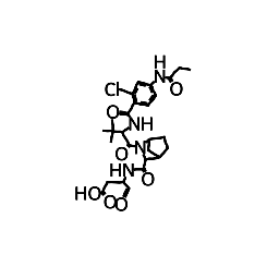 CCC(=O)Nc1ccc(C(=O)NC(C(=O)N2C3CCC(C3)C2C(=O)NC(C=O)CC(=O)O)C(C)(C)C)c(Cl)c1